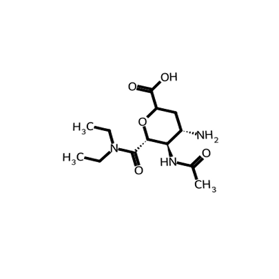 CCN(CC)C(=O)[C@@H]1OC(C(=O)O)C[C@H](N)[C@H]1NC(C)=O